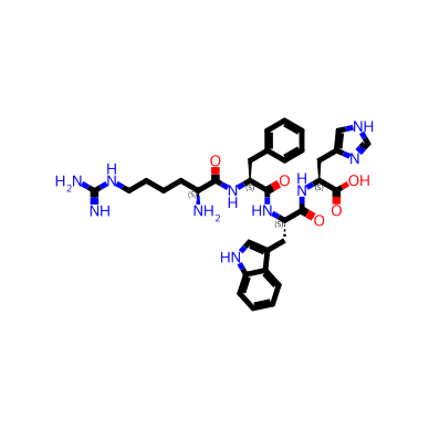 N=C(N)NCCCC[C@H](N)C(=O)N[C@@H](Cc1ccccc1)C(=O)N[C@@H](Cc1c[nH]c2ccccc12)C(=O)N[C@@H](Cc1c[nH]cn1)C(=O)O